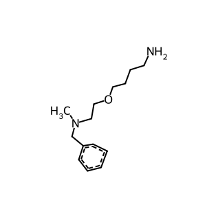 CN(CCOCCCCN)Cc1ccccc1